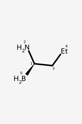 B[C@@H](N)CCC